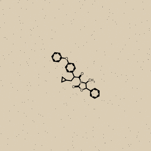 CC1C(c2ccccc2)OC(=O)N1C(=O)C(CC1CC1)c1ccc(Oc2ccccc2)cc1